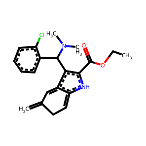 C=C1C=c2c(C(c3ccccc3Cl)N(C)C)c(C(=O)OCC)[nH]c2=CC1